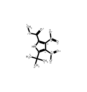 COC(=O)c1[nH]c(C(C)(C)C)c([N+](=O)[O-])c1[N+](=O)[O-]